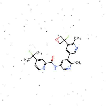 COc1ncc(-c2cc(NC(=O)c3cc(C(C)(C)F)ccn3)cnc2C)cc1C1(F)COC1